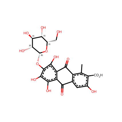 Cc1c(C(=O)O)c(O)cc2c1C(=O)c1c(O)c(O[C@H]3O[C@@H](CO)[C@@H](O)[C@H](O)[C@H]3O)c(O)c(O)c1C2=O